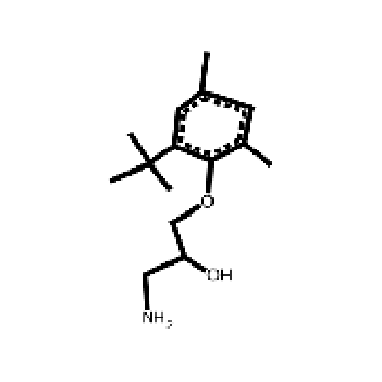 Cc1cc(C)c(OCC(O)CN)c(C(C)(C)C)c1